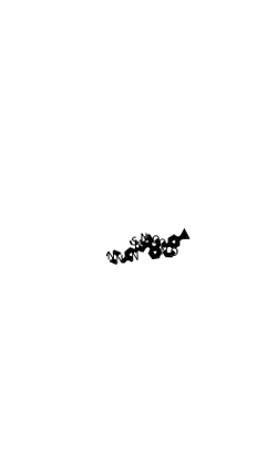 CSn1c(-c2ccc(CN3CCN(C)CC3)cn2)cc2c(-c3cccc(N4CCOc5cc(C6CC6)ccc5C4=O)c3CO)ccnc21